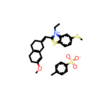 CC[n+]1c(C=C2CCC3=C(C=C(OC)CC3)C2)sc2ccc(SC)cc21.Cc1ccc(S(=O)(=O)[O-])cc1